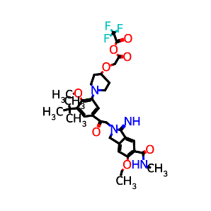 CCOc1cc2c(cc1C(=O)NC)C(=N)N(CC(=O)c1cc(N3CCC(OCC(=O)OC(=O)C(F)(F)F)CC3)c(OC)c(C(C)(C)C)c1)C2